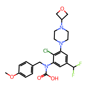 COc1ccc(CN(C(=O)O)c2cc(C(F)F)cc(N3CCN(C4COC4)CC3)c2Cl)cc1